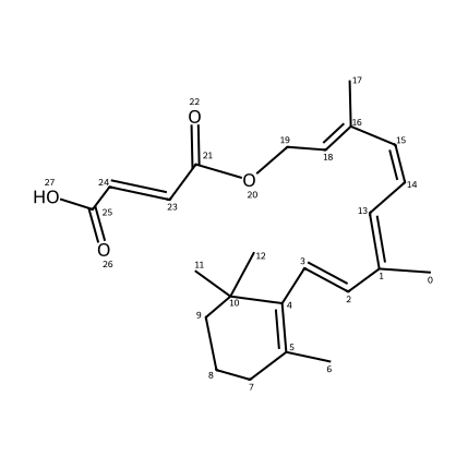 CC(C=CC1=C(C)CCCC1(C)C)=C/C=C\C(C)=CCOC(=O)/C=C/C(=O)O